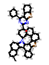 Cc1ccc2ccc3c(c2c1)c1c2ccccc2c2sc4ccc5ccccc5c4c2c1n3-c1ccc(-c2nc(-c3ccccc3)c3c(n2)sc2ccccc23)cc1